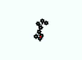 c1ccc(-c2ccccc2Cn2c3ccccc3c3cc(-c4ccc5c(c4)c4ccccc4n5-c4ccccc4-c4ccccc4)ccc32)cc1